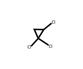 ClC1CC1(Cl)Cl